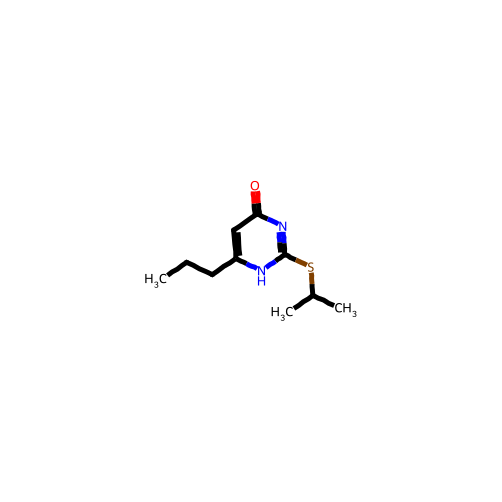 CCCc1cc(=O)nc(SC(C)C)[nH]1